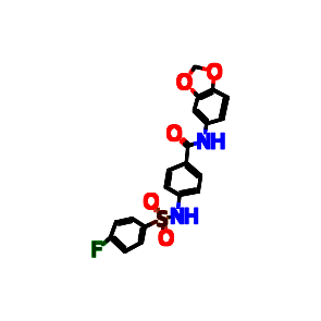 O=C(Nc1ccc2c(c1)OCO2)c1ccc(NS(=O)(=O)c2ccc(F)cc2)cc1